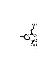 CC1C[C@@H](C(=O)O)N(C(=O)CCS)C1